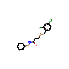 O=C(/C=C/SCc1ccc(Cl)cc1Cl)NSc1ccccc1